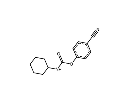 N#Cc1ccc(OC(=O)NC2CCCCC2)cc1